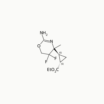 CCOC(=O)[C@H]1C[C@@H]1C1(C)N=C(N)OCC1(F)F